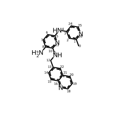 Cc1cc(Nc2ccc(N)c(NCc3ccc4ncccc4c3)n2)ccn1